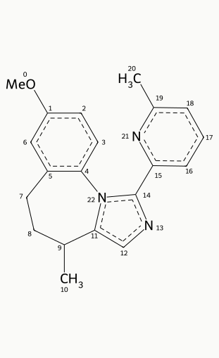 COc1ccc2c(c1)CCC(C)c1cnc(-c3cccc(C)n3)n1-2